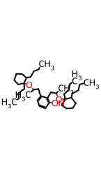 CCCCC1CCCCC1(CCCC)OC(C)Cc1cccc(O)c1CC(C)OC1(CCCC)CCCCC1CCCC